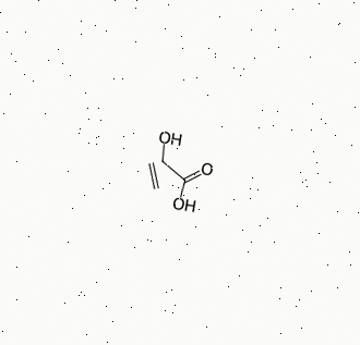 C=C.O=C(O)CO